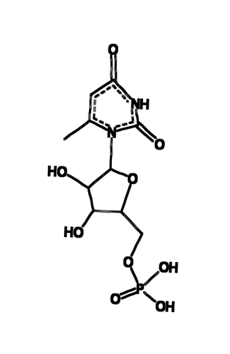 Cc1cc(=O)[nH]c(=O)n1C1OC(COP(=O)(O)O)C(O)C1O